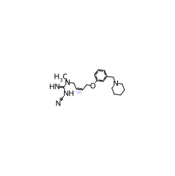 CN(C/C=C\COc1cccc(CN2CCCCC2)c1)C(=N)NC#N